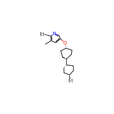 CCc1ncc(O[C@H]2CC[C@H]([C@H]3CC[C@H](CC)CC3)CC2)cc1C